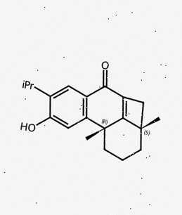 CC(C)c1cc2c(cc1O)[C@@]1(C)CCC[C@@]3(C)CC(=C31)C2=O